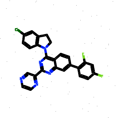 Fc1ccc(-c2ccc3c(N4CCc5cc(Cl)ccc54)nc(-c4cnccn4)nc3c2)c(F)c1